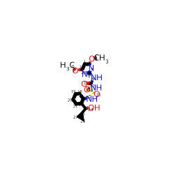 COc1cc(OC)nc(NC(=O)NS(=O)(=O)Nc2ccccc2C(O)C2CC2)n1